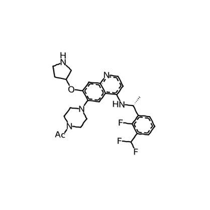 CC(=O)N1CCN(c2cc3c(N[C@H](C)c4cccc(C(F)F)c4F)ccnc3cc2OC2CCNC2)CC1